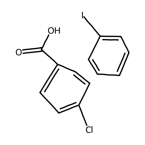 Ic1ccccc1.O=C(O)c1ccc(Cl)cc1